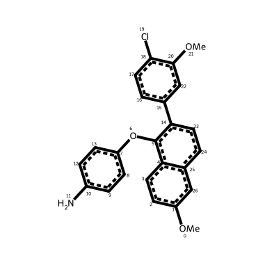 COc1ccc2c(Oc3ccc(N)cc3)c(-c3ccc(Cl)c(OC)c3)ccc2c1